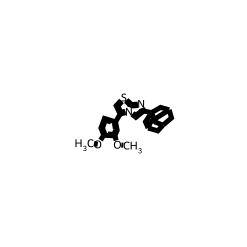 COc1ccc(-c2csc3nc(C45CC6CC(CC(C6)C4)C5)cn23)cc1OC